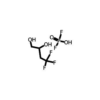 O=P(O)(F)F.OCC(O)CC(F)(F)F